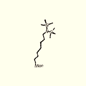 CCCCCCCCCCCCCCCCN([Si](C)(C)C)[Si](C)(C)C